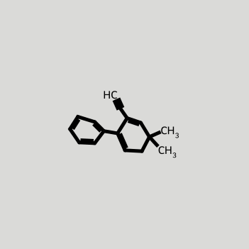 C#CC1=CC(C)(C)CC=C1c1ccccc1